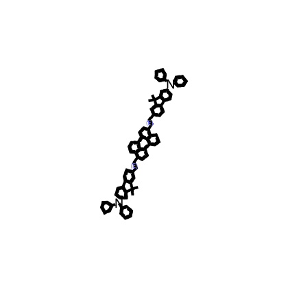 CC1(C)c2cc(/C=C/c3ccc4c5cccc6c(/C=C/c7ccc8c(c7)C(C)(C)c7cc(N(c9ccccc9)c9ccccc9)ccc7-8)ccc(c7cccc3c74)c65)ccc2-c2ccc(N(c3ccccc3)c3ccccc3)cc21